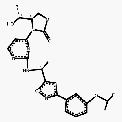 C[C@H](Nc1nccc(N2C(=O)OC[C@@H]2[C@@H](C)O)n1)c1nc(-c2cccc(OC(F)F)c2)no1